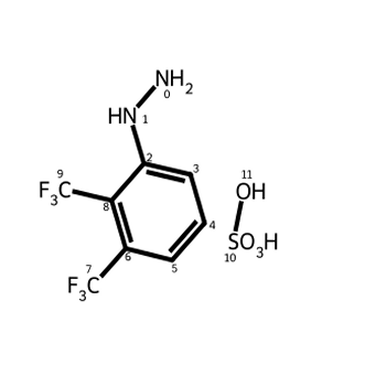 NNc1cccc(C(F)(F)F)c1C(F)(F)F.O=S(=O)(O)O